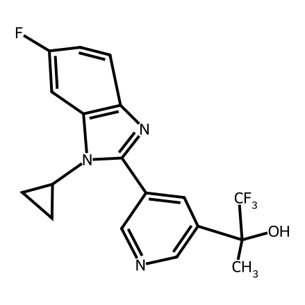 CC(O)(c1cncc(-c2nc3ccc(F)cc3n2C2CC2)c1)C(F)(F)F